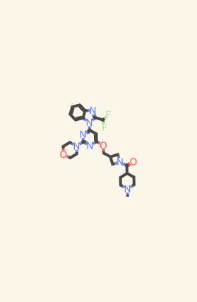 CN1CCC(C(=O)N2CC(COc3cc(-n4c(C(F)F)nc5ccccc54)nc(N4CCOCC4)n3)C2)CC1